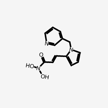 O=C(C=Cc1cccn1Cc1cccnc1)N(O)O